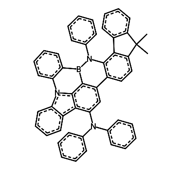 CC1(C)c2ccccc2-c2c1ccc1c2N(c2ccccc2)B2c3ccccc3-n3c4ccccc4c4c(N(c5ccccc5)c5ccccc5)cc-1c2c43